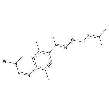 CCN(C)/C=N\c1cc(C)c(/C(C)=N/OCC=C(C)C)cc1C